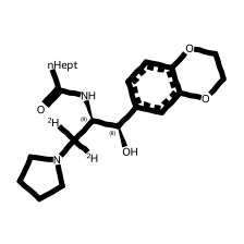 [2H]C([2H])([C@@H](NC(=O)CCCCCCC)[C@H](O)c1ccc2c(c1)OCCO2)N1CCCC1